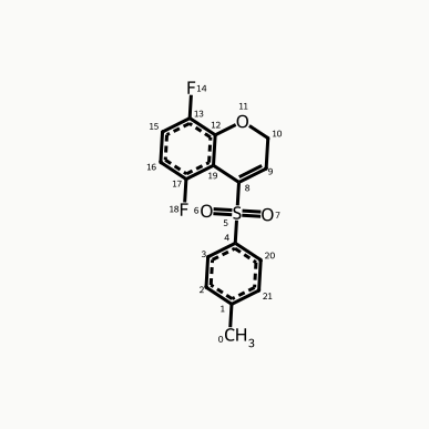 Cc1ccc(S(=O)(=O)C2=CCOc3c(F)ccc(F)c32)cc1